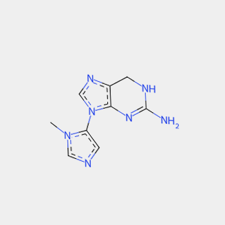 Cn1cncc1-n1cnc2c1N=C(N)NC2